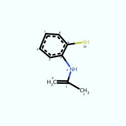 C=C(C)Nc1ccccc1S